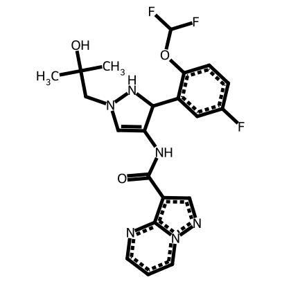 CC(C)(O)CN1C=C(NC(=O)c2cnn3cccnc23)C(c2cc(F)ccc2OC(F)F)N1